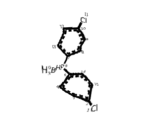 B.Clc1ccc(Pc2ccc(Cl)cc2)cc1